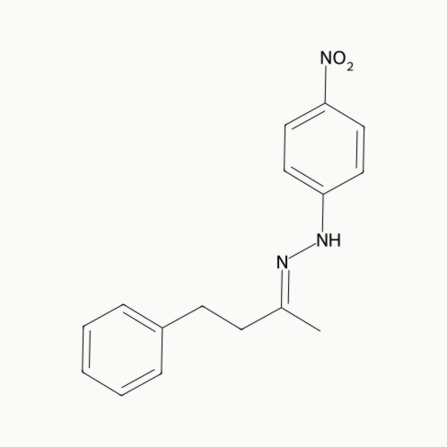 CC(CCc1ccccc1)=NNc1ccc([N+](=O)[O-])cc1